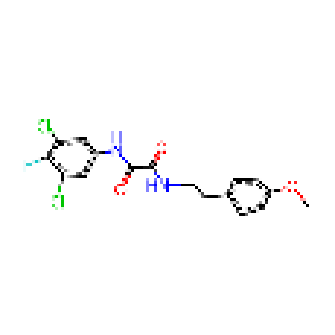 COc1ccc(CCNC(=O)C(=O)Nc2cc(Cl)c(F)c(Cl)c2)cc1